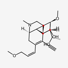 C#CC1=C(/C=C\COC)C[C@H]2N(C)CC[C@@]13[C@@H](O)[C@@]1(OC)C=C[C@@]23C[C@@H]1[C@H](C)O